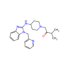 CC(C)C(=O)CN1CCC(Nc2nc3ccccc3n2Cc2ccccn2)CC1